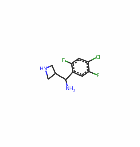 NC(c1cc(F)c(Cl)cc1F)C1CNC1